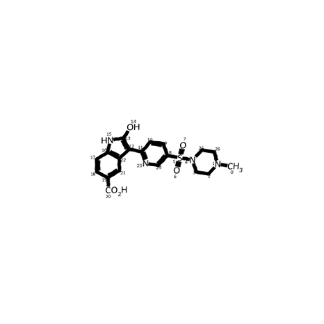 CN1CCN(S(=O)(=O)c2ccc(-c3c(O)[nH]c4ccc(C(=O)O)cc34)nc2)CC1